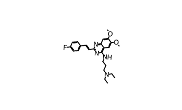 CCN(CC)CCCNc1nc(C=Cc2ccc(F)cc2)nc2cc(OC)c(OC)cc12